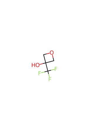 OC1(C(F)(F)F)COC1